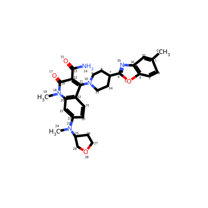 Cc1ccc2oc(C3CCN(c4c(C(N)=O)c(=O)n(C)c5cc(N(C)C6CCOC6)ccc45)CC3)nc2c1